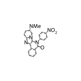 CNc1ccc2nc3c4ccccc4c(=O)n(-c4ccc([N+](=O)[O-])cc4)c3n2c1